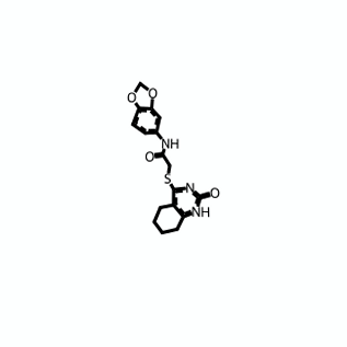 O=C(CSc1nc(=O)[nH]c2c1CCCC2)Nc1ccc2c(c1)OCO2